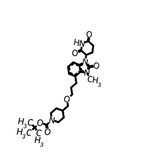 Cn1c(=O)n(C2CCC(=O)NC2=O)c2cccc(CCCOCC3CCN(C(=O)OC(C)(C)C)CC3)c21